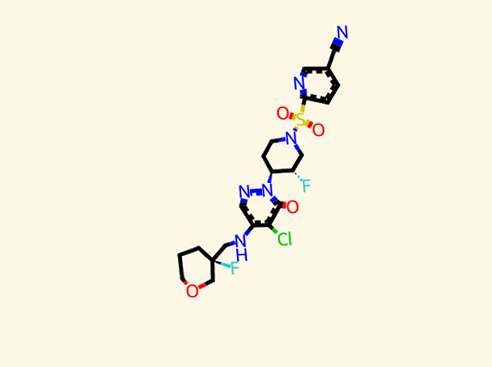 N#Cc1ccc(S(=O)(=O)N2CC[C@H](n3ncc(NC[C@@]4(F)CCCOC4)c(Cl)c3=O)[C@@H](F)C2)nc1